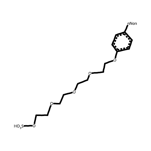 CCCCCCCCCc1ccc(OCCOCCOCCOCCOS(=O)(=O)O)cc1